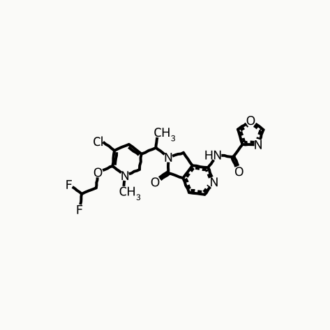 CC(C1=CC(Cl)=C(OCC(F)F)N(C)C1)N1Cc2c(ccnc2NC(=O)c2cocn2)C1=O